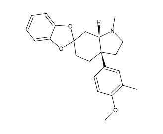 COc1ccc([C@]23CCN(C)[C@H]2CC2(CC3)Oc3ccccc3O2)cc1C